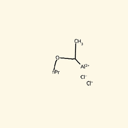 CCCO[CH](C)[Al+2].[Cl-].[Cl-]